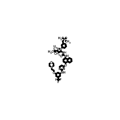 CC(C)(C)c1cc(NC(=O)Nc2ccc(Oc3ccnc(Nc4cc(OCCN5CCOCC5)cc(C(F)(F)F)c4)n3)c3ccccc23)n(-c2cccc(CP(C)(C)=O)c2)n1